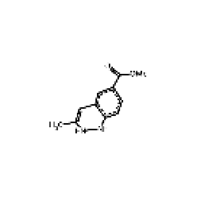 COC(=O)c1ccc2c(c1)C=C(C)NN2